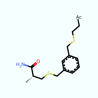 CC(=O)CCSCc1cccc(CSC[C@H](C)C(N)=O)c1